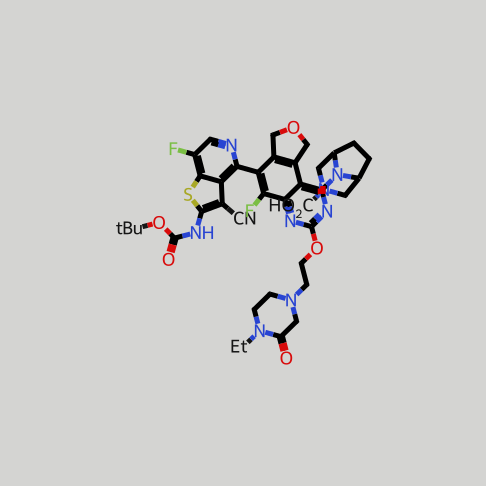 CCN1CCN(CCOc2nc(N3C4CCC3CN(C(=O)O)C4)c3c4c(c(-c5ncc(F)c6sc(NC(=O)OC(C)(C)C)c(C#N)c56)c(F)c3n2)COC4)CC1=O